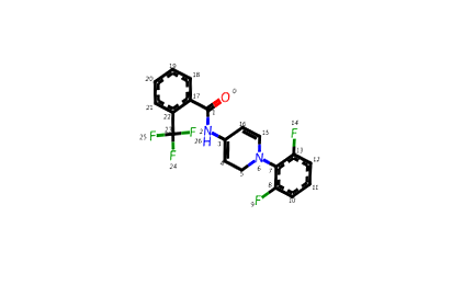 O=C(NC1=CCN(c2c(F)cccc2F)C=C1)c1ccccc1C(F)(F)F